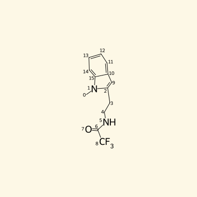 Cn1c(CCNC(=O)C(F)(F)F)cc2ccccc21